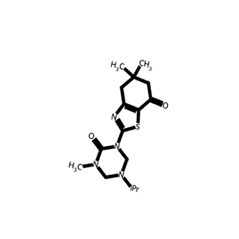 CC(C)N1CN(C)C(=O)N(c2nc3c(s2)C(=O)CC(C)(C)C3)C1